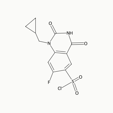 O=c1[nH]c(=O)n(CC2CC2)c2cc(F)c(S(=O)(=O)Cl)cc12